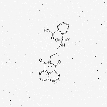 O=C(O)c1ccccc1S(=O)(=O)NCCCN1C(=O)c2cccc3cccc(c23)C1=O